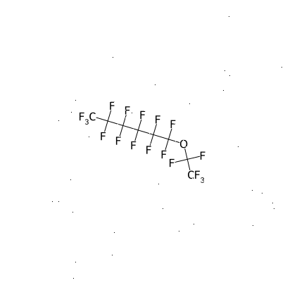 FC(F)(F)C(F)(F)OC(F)(F)C(F)(F)C(F)(F)C(F)(F)C(F)(F)C(F)(F)F